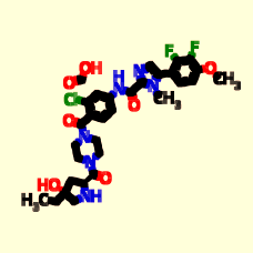 CC[C@@]1(O)CN[C@H](C(=O)N2CCN(C(=O)c3ccc(NC(=O)c4ncc(-c5ccc(OC)c(F)c5F)n4C)cc3Cl)CC2)C1.O=CO